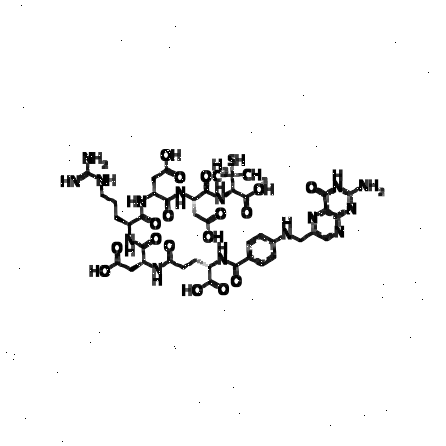 CC(C)(S)[C@H](NC(=O)[C@H](CC(=O)O)NC(=O)[C@H](CC(=O)O)NC(=O)[C@H](CCCNC(=N)N)NC(=O)[C@H](CC(=O)O)NC(=O)CC[C@H](NC(=O)c1ccc(NCc2cnc3nc(N)[nH]c(=O)c3n2)cc1)C(=O)O)C(=O)O